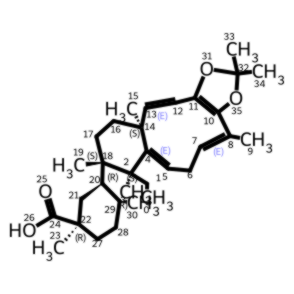 CC[C@]1(C)/C2=C/C/C=C(\C)C3=C(/C=C/[C@]2(C)CC[C@@]1(C)[C@@H]1C[C@](C)(C(=O)O)CC[C@H]1C)OC(C)(C)O3